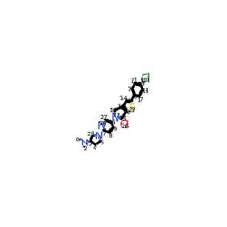 CN(C)C1CCN(c2ccc(N3Cc4cc(-c5ccc(Cl)cc5)sc4C3=O)cn2)C1